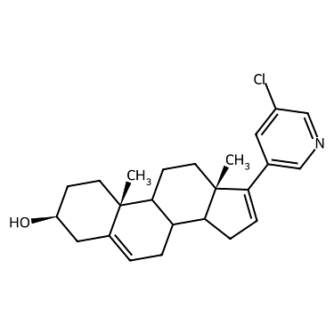 C[C@]12CC[C@H](O)CC1=CCC1C2CC[C@]2(C)C(c3cncc(Cl)c3)=CCC12